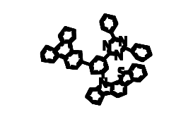 c1ccc(-c2nc(-c3ccccc3)nc(-c3cc(-c4ccc5c6ccccc6c6ccccc6c5c4)cc(-n4c5ccccc5c5ccc6c7ccccc7sc6c54)c3)n2)cc1